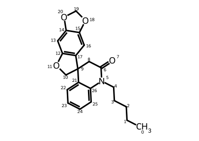 CCCCCN1C(=O)CC2(COc3cc4c(cc32)OCO4)c2ccccc21